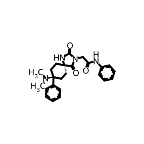 CN(C)[C@]1(c2ccccc2)CC[C@]2(CC1)NC(=O)N(CC(=O)Nc1ccccc1)C2=O